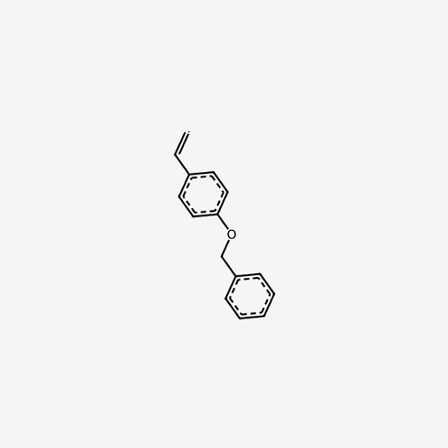 [CH]=Cc1ccc(OCc2ccccc2)cc1